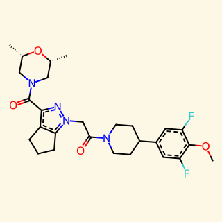 COc1c(F)cc(C2CCN(C(=O)Cn3nc(C(=O)N4C[C@@H](C)O[C@@H](C)C4)c4c3CCC4)CC2)cc1F